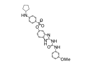 COc1cccc(NC(=O)Nc2nc3cc(OS(=O)(=O)c4ccc(NC5CCCC5)cc4)ccc3[nH]2)c1